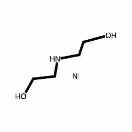 OCCNCCO.[N]